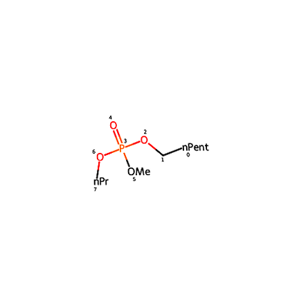 CCCCCCOP(=O)(OC)OCCC